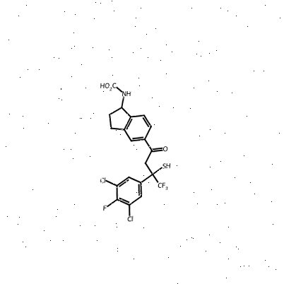 O=C(O)NC1CCc2cc(C(=O)CC(S)(c3cc(Cl)c(F)c(Cl)c3)C(F)(F)F)ccc21